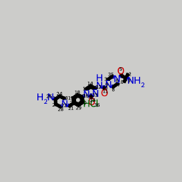 CC(C)(N)C(=O)N1CCN(C(=O)Nc2ccn(-c3ccc(CN4CCC(N)CC4)cc3)c(=O)n2)CC1.Cl